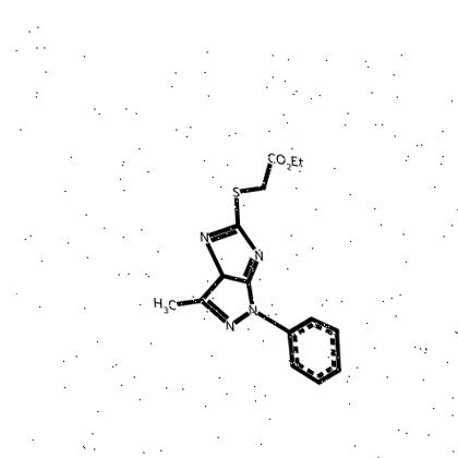 CCOC(=O)CSC1=NC2C(C)=NN(c3ccccc3)C2=N1